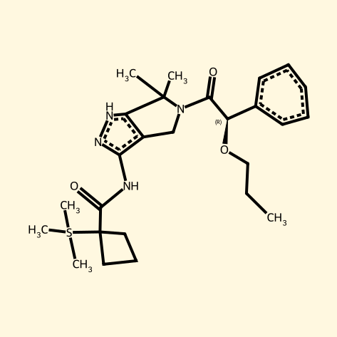 CCCO[C@@H](C(=O)N1Cc2c(NC(=O)C3(S(C)(C)C)CCC3)n[nH]c2C1(C)C)c1ccccc1